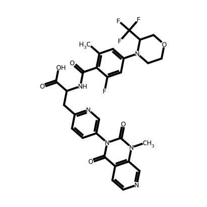 Cc1cc(N2CCOCC2C(F)(F)F)cc(F)c1C(=O)NC(Cc1ccc(-n2c(=O)c3ccncc3n(C)c2=O)cn1)C(=O)O